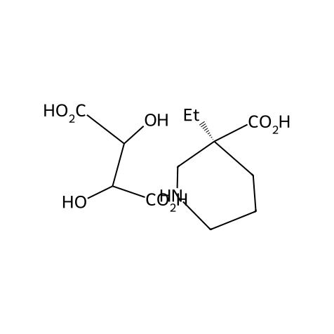 CC[C@]1(C(=O)O)CCCNC1.O=C(O)C(O)C(O)C(=O)O